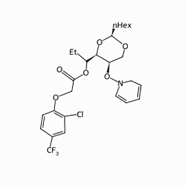 CCCCCC[C@H]1OC[C@@H](ON2C=CC=CC2)[C@@H](C(CC)OC(=O)COc2ccc(C(F)(F)F)cc2Cl)O1